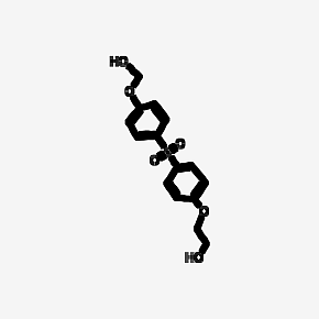 O=S(=O)(c1ccc(OCO)cc1)c1ccc(OCCO)cc1